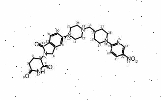 O=C1CCC(N2Cc3cc(N4CCN(CC5CCN(c6ccc([N+](=O)[O-])cn6)CC5)CC4)ccc3C2=O)C(=O)N1